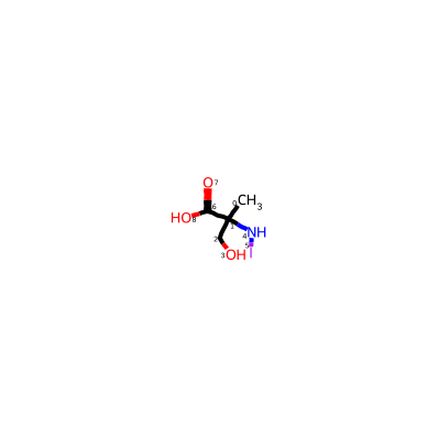 CC(CO)(NI)C(=O)O